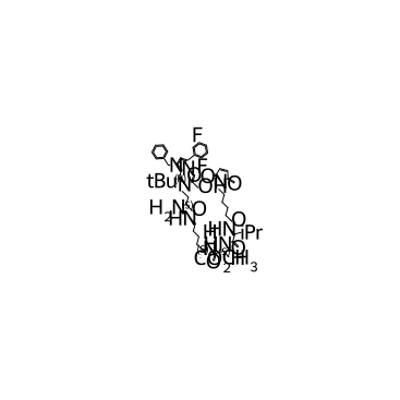 CC(C)C(NC(=O)CCCCCN1C(=O)C=CC1=O)C(=O)N[C@@H](C)C(=O)N[C@@H](CCCCNC(=O)[C@@H](N)CCN(C(=O)CO)[C@@H](c1nc(-c2cc(F)ccc2F)cn1Cc1ccccc1)C(C)(C)C)C(=O)O